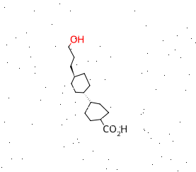 O=C(O)C1CCC([C@H]2CC[C@H](CCCO)CC2)CC1